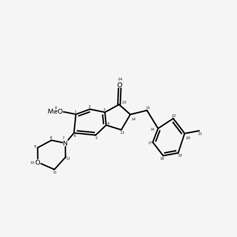 COc1cc2c(cc1N1CCOCC1)CC(Cc1cccc(C)c1)C2=O